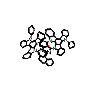 c1ccc(-n2c3ccccc3c3c4c5ccccc5n(-c5ccccc5)c4c4c(c5ccccc5n4-c4cc(-n5c6ccccc6c6c7c(c8ccccc8n7-c7ccccc7)c7c8ccccc8n(-c8ccccc8)c7c65)nc(-c5cccc6ccccc56)n4)c32)cc1